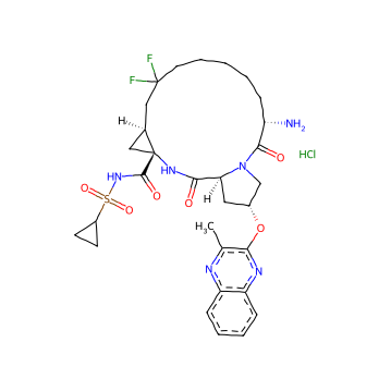 Cc1nc2ccccc2nc1O[C@@H]1C[C@H]2C(=O)N[C@]3(C(=O)NS(=O)(=O)C4CC4)C[C@H]3CC(F)(F)CCCCC[C@H](N)C(=O)N2C1.Cl